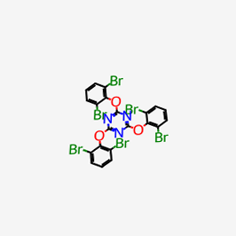 Brc1cccc(Br)c1Oc1nc(Oc2c(Br)cccc2Br)nc(Oc2c(Br)cccc2Br)n1